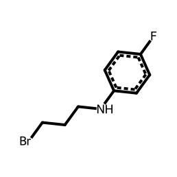 Fc1ccc(NCCCBr)cc1